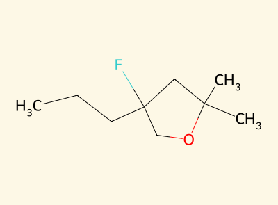 CCCC1(F)COC(C)(C)C1